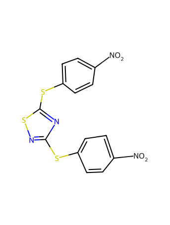 O=[N+]([O-])c1ccc(Sc2nsc(Sc3ccc([N+](=O)[O-])cc3)n2)cc1